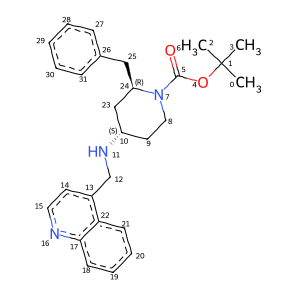 CC(C)(C)OC(=O)N1CC[C@H](NCc2ccnc3ccccc23)C[C@H]1Cc1ccccc1